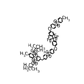 Cc1ccc(S(=O)(=O)c2ccc(Oc3ccc(C(c4ccc(Oc5ccc(S(=O)(=O)c6ccc(Cc7ccc(-c8ccc(C)cc8S(=O)(=O)OCC(C)(C)C)c(S(=O)(=O)OCC(C)(C)C)c7)cc6)cc5)cc4)(C(F)(F)F)C(F)(F)F)cc3)cc2)cc1